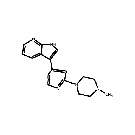 CN1CCN(c2cc(-c3c[nH]c4ncccc34)ccn2)CC1